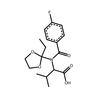 CCC1(N(C(=O)c2ccc(F)cc2)C(C(=O)O)C(C)C)OCCO1